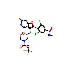 CNC(=O)c1cc(F)c(-c2oc3cc(C)ncc3c2CC2CN(C(=O)OC(C)(C)C)CCO2)c(F)c1